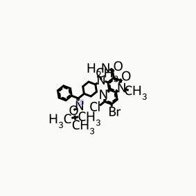 CN(c1c(C(N)=O)c(=O)n(C)c2cc(Br)c(Cl)nc12)C1CCC(/C(=N/OC(C)(C)C)c2ccccc2)CC1